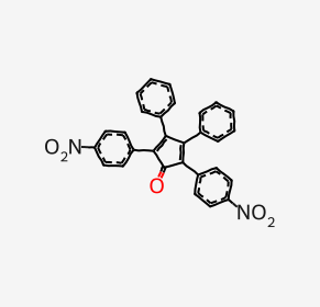 O=C1C(c2ccc([N+](=O)[O-])cc2)=C(c2ccccc2)C(c2ccccc2)=C1c1ccc([N+](=O)[O-])cc1